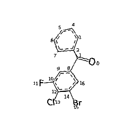 O=C(c1ccccc1)c1cc(F)c(Cl)c(Br)c1